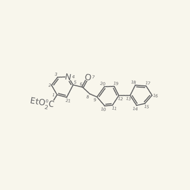 CCOC(=O)c1ccnc(C(=O)Cc2ccc(-c3ccccc3)cc2)c1